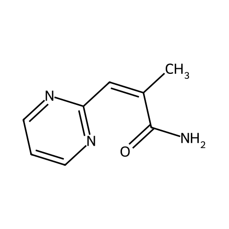 CC(=Cc1ncccn1)C(N)=O